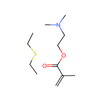 C=C(C)C(=O)OCCN(C)C.CCSCC